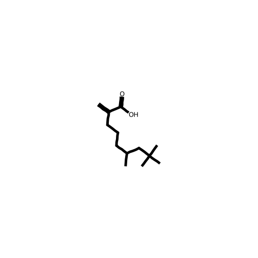 C=C(CCCC(C)CC(C)(C)C)C(=O)O